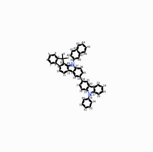 CC1(C)c2ccccc2-c2ccc3c4cc(-c5ccc6c(c5)c5ccccc5n6-c5ccccc5)ccc4n(-c4ccc5ccccc5c4)c3c21